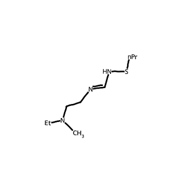 CCCSN/C=N/CCN(C)CC